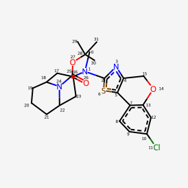 CN(c1nc2c(s1)-c1ccc(Cl)cc1OC2)C1CC2CCCC(C1)N2C(=O)OC(C)(C)C